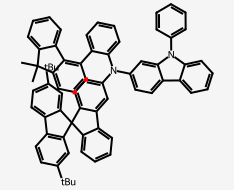 CC(C)(C)c1ccc2c(c1)C1(c3ccccc3-c3cc(N(c4ccc5c6ccccc6n(-c6ccccc6)c5c4)c4ccccc4-c4cccc5c4-c4ccccc4C5(C)C)ccc31)c1cc(C(C)(C)C)ccc1-2